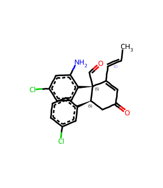 C/C=C/C1=CC(=O)C[C@@H](c2cccc(Cl)c2)[C@@]1(C=O)c1ccc(Cl)cc1N